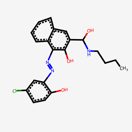 CCCCNC(O)c1cc2ccccc2c(N=Nc2cc(Cl)ccc2O)c1O